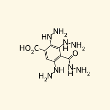 NNC(=O)c1c(NN)cc(C(=O)O)c(NN)c1NN